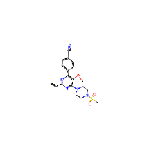 C=Cc1nc(-c2ccc(C#N)cc2)c(OC)c(N2CCN(S(C)(=O)=O)CC2)n1